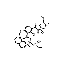 C=CC[C@@H](C)CS(=O)(=O)NC(=O)c1ccc2c(c1Cl)N(C[C@@H]1CC[C@H]1[C@H](O)C=C)C[C@@]1(CCCc3ccccc31)CO2